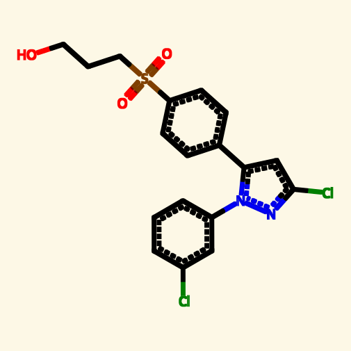 O=S(=O)(CCCO)c1ccc(-c2cc(Cl)nn2-c2cccc(Cl)c2)cc1